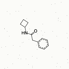 O=C(Cc1ccccc1)NC1CCC1